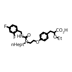 CCCCCCCN(CCOc1ccc(CC(OCC)C(=O)O)cc1)C(=O)NCc1ccc(F)cc1F